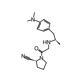 C[C@H](Cc1ccc(N(C)C)cc1)NCC(=O)N1CCC[C@H]1C#N